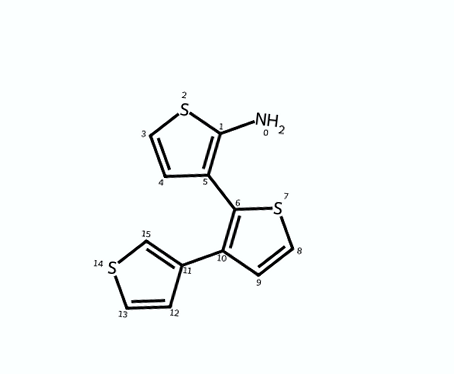 Nc1sccc1-c1sccc1-c1ccsc1